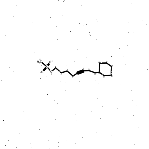 CS(=O)(=O)OCCCCC#CCCC1CCCCC1